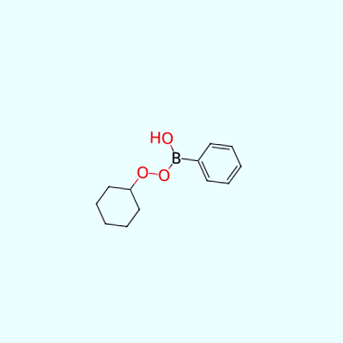 OB(OOC1CCCCC1)c1ccccc1